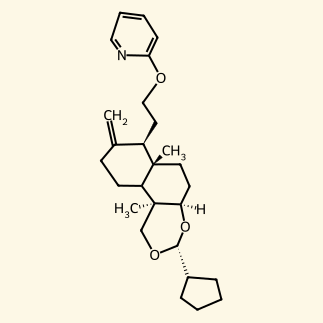 C=C1CCC2[C@]3(C)CO[C@@H](C4CCCC4)O[C@@H]3CC[C@@]2(C)[C@@H]1CCOc1ccccn1